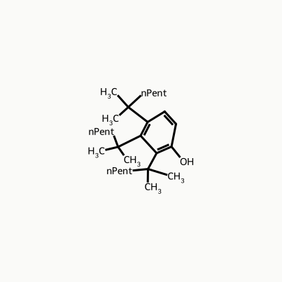 CCCCCC(C)(C)c1ccc(O)c(C(C)(C)CCCCC)c1C(C)(C)CCCCC